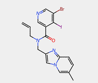 C=CCN(Cc1cn2cc(C)ccc2n1)C(=O)c1cncc(Br)c1I